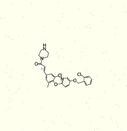 Cc1cc(/C=C/C(=O)N2CCNCC2)cc(Cl)c1Oc1ccc(OCc2ccccc2Cl)cn1